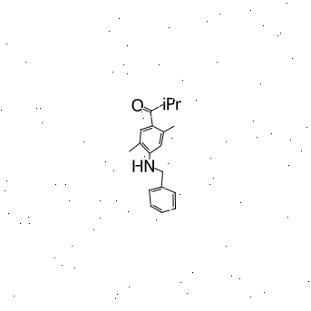 Cc1cc(C(=O)C(C)C)c(C)cc1NCc1ccccc1